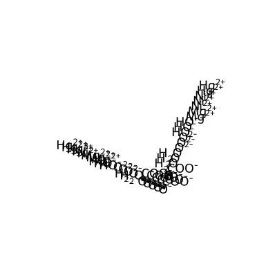 O.O.O.O.O.O=C([O-])[O-].O=C([O-])[O-].O=C([O-])[O-].O=C([O-])[O-].O=C([O-])[O-].O=C([O-])[O-].[Hg+2].[Hg+2].[Hg+2].[Hg+2].[Hg+2].[Mg+2].[Mg+2].[Mg+2].[Mg+2].[Mg+2].[Ni+2].[Ni+2].[Ni+2].[Ni+2].[Ni+2].[O-2].[O-2].[O-2].[O-2].[O-2].[O-2].[OH-].[OH-].[OH-].[OH-].[OH-].[OH-]